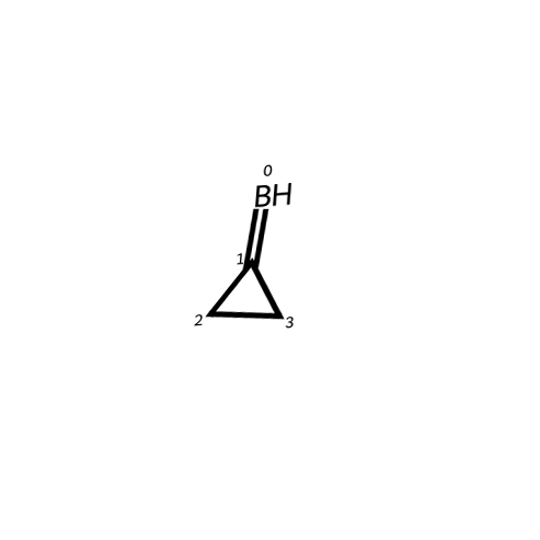 B=C1CC1